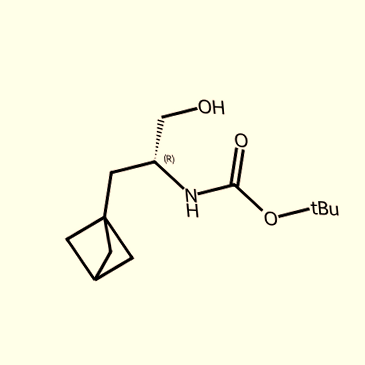 CC(C)(C)OC(=O)N[C@@H](CO)CC12CC(C1)C2